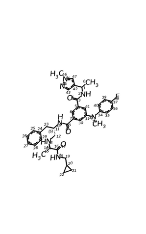 CC(NC(=O)c1cc(C(=O)N[C@H](CN[C@@H](C)C(=O)NCC2CC2)Cc2ccccc2)cc(N(C)c2ccc(F)cc2)c1)c1cnn(C)c1